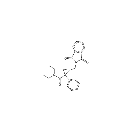 CCN(CC)C(=O)C1(c2ccccc2)CC1CN1C(=O)c2ccccc2C1=O